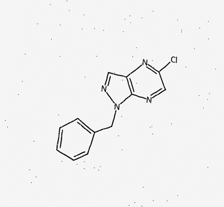 Clc1cnc2c(cnn2Cc2ccccc2)n1